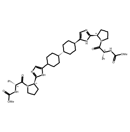 COC(=O)N[C@@H](C(=O)N1CCC[C@@H]1c1ncc(C2CCC([C@H]3CC[C@H](c4cnc([C@H]5CCCN5C(=O)[C@H](NC(=O)OC)C(C)C)[nH]4)CC3)CC2)[nH]1)C(C)C